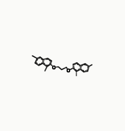 Cc1ccc2c(C)c(OCCCOc3ccc4cc(C)ccc4c3C)ccc2c1